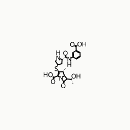 C[C@@H](O)C1C(=O)N2C(C(=O)O)=C(S[C@@H]3CN[C@H](C(=O)Nc4cccc(C(=O)O)c4)C3)[C@H](C)C12